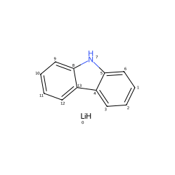 [LiH].c1ccc2c(c1)[nH]c1ccccc12